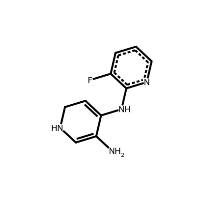 NC1=CNCC=C1Nc1ncccc1F